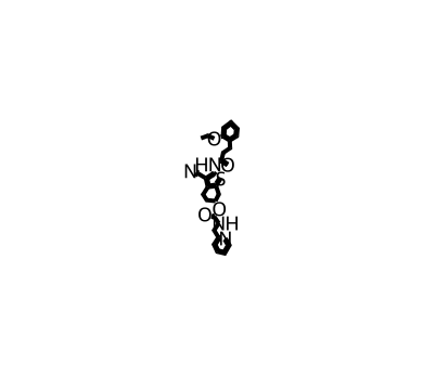 CCOc1ccccc1CCC(=O)Nc1sc2c(c1C#N)CCC(OC(=O)NCc1ccccn1)C2